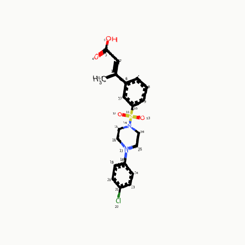 C/C(=C\C(=O)O)c1cccc(S(=O)(=O)N2CCN(c3ccc(Cl)cc3)CC2)c1